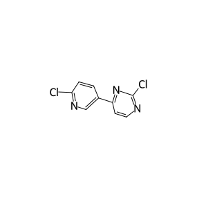 Clc1ccc(-c2ccnc(Cl)n2)cn1